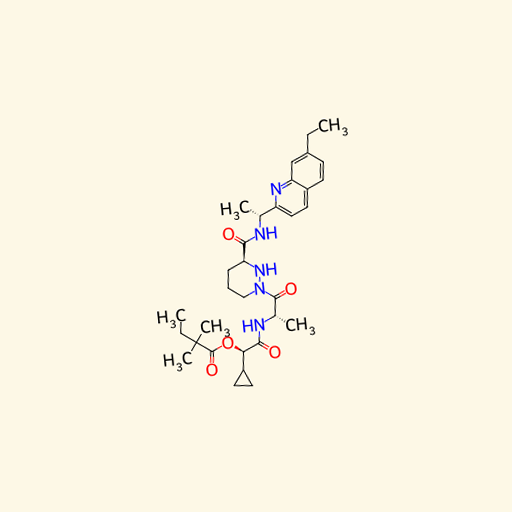 CCc1ccc2ccc([C@@H](C)NC(=O)[C@@H]3CCCN(C(=O)[C@H](C)NC(=O)[C@H](OC(=O)C(C)(C)CC)C4CC4)N3)nc2c1